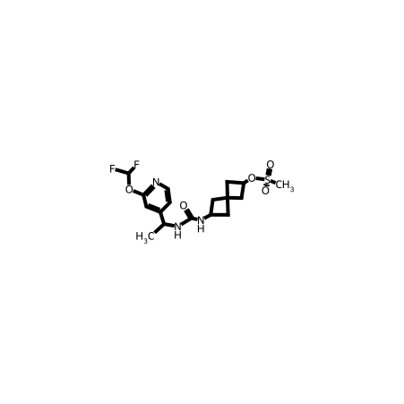 CC(NC(=O)NC1CC2(C1)CC(OS(C)(=O)=O)C2)c1ccnc(OC(F)F)c1